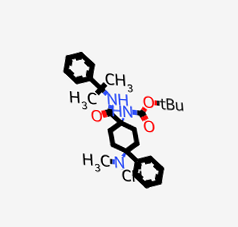 CN(C)[C@]1(c2ccccc2)CC[C@](NC(=O)OC(C)(C)C)(C(=O)NC(C)(C)c2ccccc2)CC1